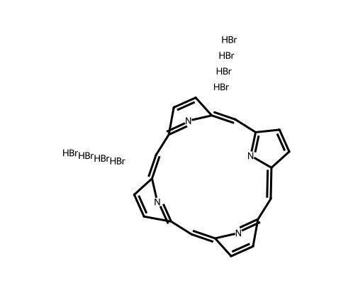 Br.Br.Br.Br.Br.Br.Br.Br.C1=CC2=NC1=CC1=NC(=CC3=NC(=CC4=NC(=C2)C=C4)C=C3)C=C1